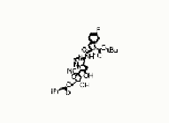 CC(C)CC(=O)OC[C@H]1O[C@@](C#N)(c2ccc3c(NC(=O)[C@@](C)(Cc4ccc(F)cc4)NC(=O)OC(C)(C)C)ncnn23)[C@H](O)[C@@H]1O